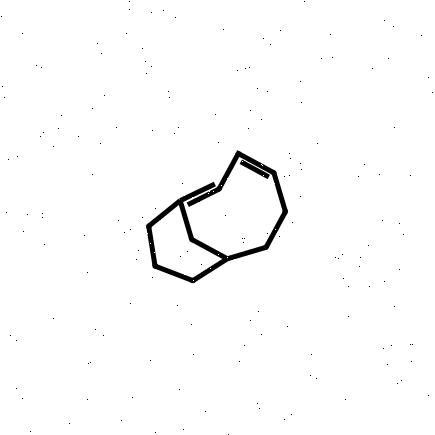 C1=C\CCC2CCC\C(=C/1)C2